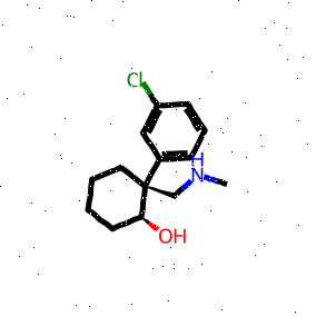 CNC[C@]1(c2cccc(Cl)c2)CCCC[C@@H]1O